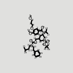 COCCCOc1cc(C(=O)N(C(C)C)[C@@H]2CC(COC(=O)N(CCc3ccccc3)CCC(C)C)CN(C(=O)OC(C)(C)C)C2)ccc1OC